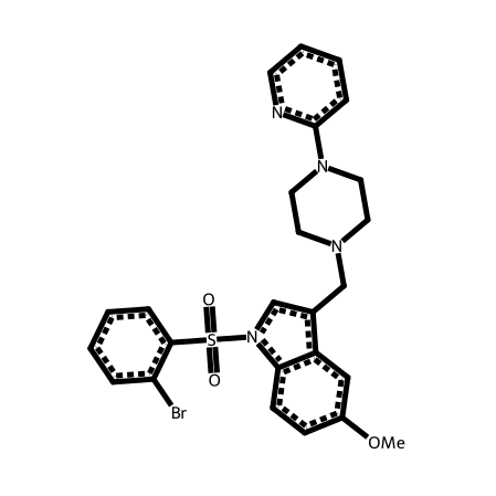 COc1ccc2c(c1)c(CN1CCN(c3ccccn3)CC1)cn2S(=O)(=O)c1ccccc1Br